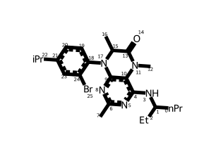 CCCC(CC)Nc1nc(C)nc2c1N(C)C(=O)C(C)N2c1ccc(C(C)C)cc1Br